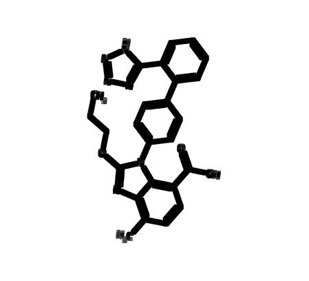 CCCOc1nc2c(C)ccc(C(=O)O)c2n1-c1ccc(-c2ccccc2-c2nnn[nH]2)cc1